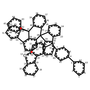 c1ccc(-c2ccc(N(c3ccc4oc5ccccc5c4c3)c3ccccc3C3(c4ccccc4)c4ccccc4C4(c5ccccc5)c5ccccc5-c5cccc3c54)cc2)cc1